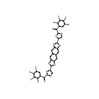 O=C(c1ncc(-c2nc3cc4cc5oc(-c6cnc(C(=O)c7cc(F)c(F)c(F)c7F)s6)nc5cc4cc3o2)s1)c1cc(F)c(F)c(F)c1F